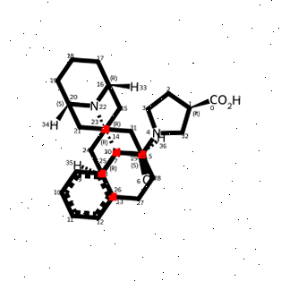 O=C(O)[C@@H]1CCN(C(=O)N(c2ccccc2)[C@H]2C[C@H]3CCC[C@@H](C2)N3[C@H]2C[C@@H]3CCC[C@@H](C3)C2)C1